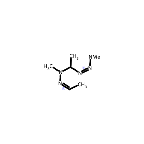 C/C=N\N(C)C(C)/N=N\NC